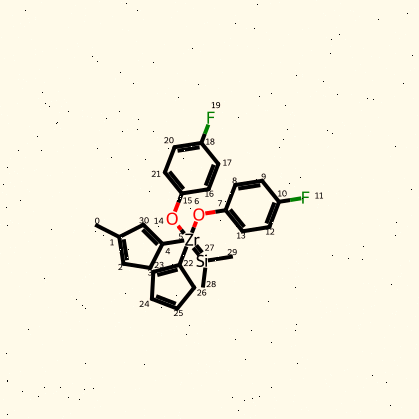 CC1=CC[C]([Zr]([O]c2ccc(F)cc2)([O]c2ccc(F)cc2)([C]2=CC=CC2)=[Si](C)C)=C1